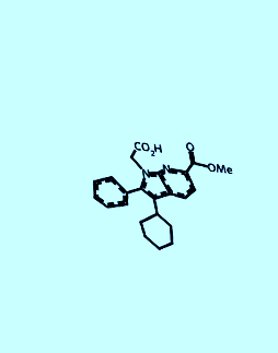 COC(=O)c1ccc2c(C3CCCCC3)c(-c3ccccc3)n(CC(=O)O)c2n1